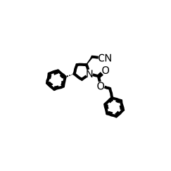 N#CC[C@@H]1C[C@@H](c2ccccc2)CN1C(=O)OCc1ccccc1